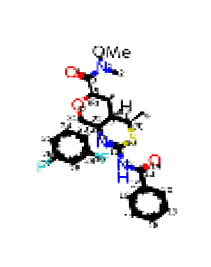 CON(C)C(=O)[C@H]1C[C@H]2[C@@H](C)SC(NC(=O)c3ccccc3)=N[C@@]2(c2ccc(F)cc2F)CO1